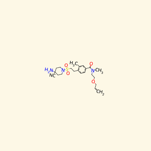 C=CCOCCN(C)C(=O)c1ccc(CCS(=O)(=O)N2CCC(N)(C#N)CC2)c(C)c1